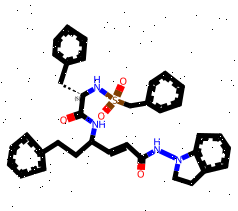 O=C(C=CC(CCc1ccccc1)NC(=O)[C@H](Cc1ccccc1)NS(=O)(=O)Cc1ccccc1)NN1CCc2ccccc21